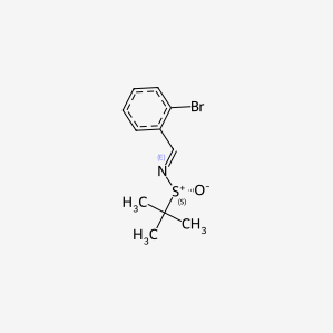 CC(C)(C)[S@@+]([O-])/N=C/c1ccccc1Br